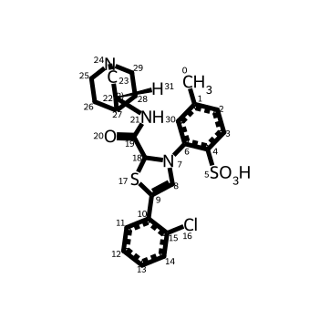 Cc1ccc(S(=O)(=O)O)c(N2C=C(c3ccccc3Cl)SC2C(=O)N[C@H]2CN3CCC2CC3)c1